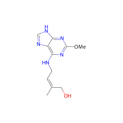 COc1nc(NC/C=C(/C)CO)c2nc[nH]c2n1